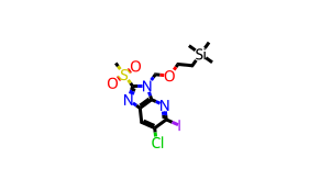 C[Si](C)(C)CCOCn1c(S(C)(=O)=O)nc2cc(Cl)c(I)nc21